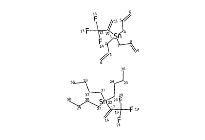 C=C[CH2][Sn]([CH2]C=C)([CH2]C=C)[C](=C)C(F)(F)F.C=[C](C(F)(F)F)[Sn]([CH2]CCC)([CH2]CCC)[CH2]CCC